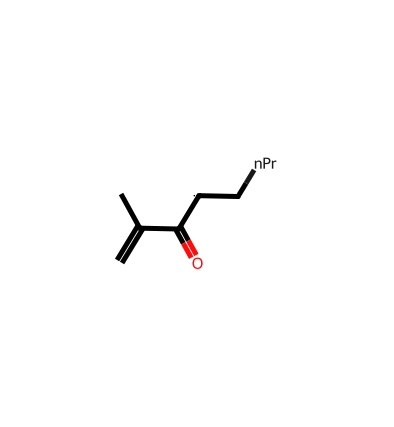 [CH2]CCC[CH]C(=O)C(=C)C